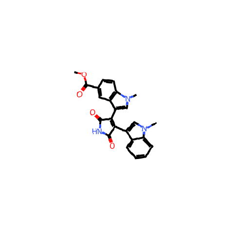 COC(=O)c1ccc2c(c1)c(C1=C(c3cn(C)c4ccccc34)C(=O)NC1=O)cn2C